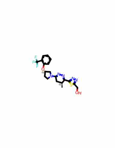 C[C@H]1CC(N2CC[C@H](Oc3ccccc3C(F)(F)F)C2)=NN=C1c1nnc(CO)s1